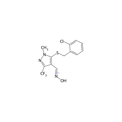 Cn1nc(C(F)(F)F)c(/C=N/O)c1SCc1ccccc1Cl